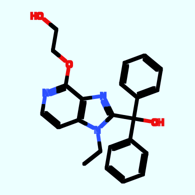 CCn1c(C(O)(c2ccccc2)c2ccccc2)nc2c(OCCO)nccc21